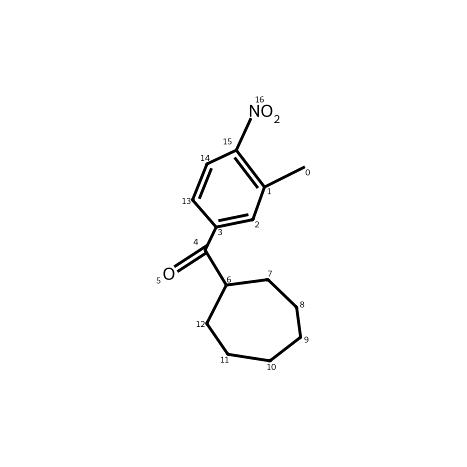 Cc1cc(C(=O)C2CCCCCC2)ccc1[N+](=O)[O-]